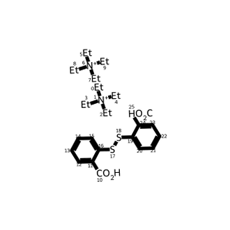 CC[N+](CC)(CC)CC.CC[N+](CC)(CC)CC.O=C(O)c1ccccc1SSc1ccccc1C(=O)O